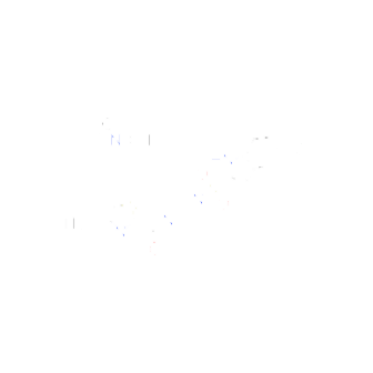 Cc1nc(C(=O)N2CCN(S(=O)(=O)c3cc4cc(Cl)ccc4[nH]3)CC2)sc1CCCN(C)C